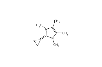 CC1=C(C)N(C)C(=C2CC2)N1C